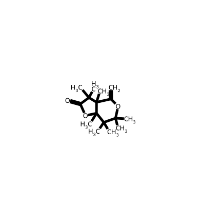 C=C1OC(C)(C)C(C)(C)C2(C)OC(=O)C(C)(C)C12C